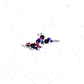 COCCn1ncc2cc(-n3ccn(-c4c5c(nn4-c4ccc(F)c(C)c4)CCN(C(=O)c4cc6cc(N7CCOC(C)(C)C7)ccc6n4[C@@]4(c6noc(=O)[nH]6)C[C@@H]4C)C5)c3=O)ccc21